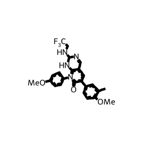 COc1ccc(-n2c3c(cc(-c4ccc(OC)c(C)c4)c2=O)C=NC(NCC(F)(F)F)N3)cc1